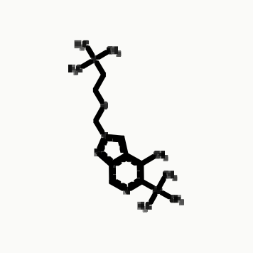 Cc1[c]([Sn]([CH3])([CH3])[CH3])ncc2nn(COCC[Si](C)(C)C)cc12